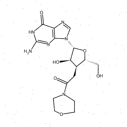 Nc1nc2c(ncn2[C@@H]2O[C@H](CO)[C@@H](CC(=O)N3CCOCC3)[C@H]2O)c(=O)[nH]1